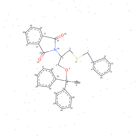 CC(C)(C)[Si](OCC(CSCc1ccccc1)N1C(=O)c2ccccc2C1=O)(c1ccccc1)c1ccccc1